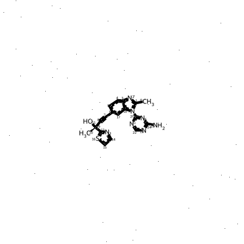 Cc1nc2ccc(C#C[C@@](C)(O)c3nccs3)cc2n1-c1ncnc(N)n1